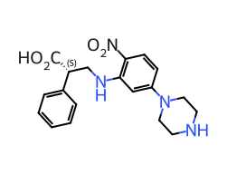 O=C(O)[C@H](CNc1cc(N2CCNCC2)ccc1[N+](=O)[O-])c1ccccc1